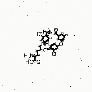 NCCCCC(N)C(=O)O.NCc1ccccc1O.O=Cc1cccc(Oc2ccc(Cl)c(Cl)c2)c1